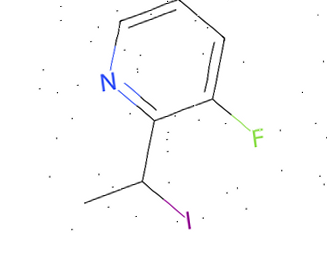 CC(I)c1ncccc1F